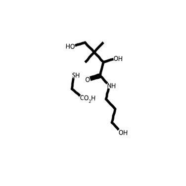 CC(C)(CO)C(O)C(=O)NCCCO.O=C(O)CS